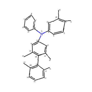 Cc1ccc(N(c2ccccc2)c2cc(C)c(-c3c(C)cccc3C)c(C)c2)cc1C